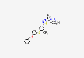 C[C@](N)(CC(=O)O)c1nnc(-c2ccc(Sc3cccc(OCc4ccccc4)c3)c(C(F)(F)F)c2)s1